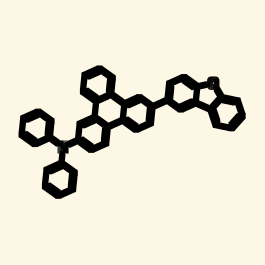 c1ccc(N(c2ccccc2)c2ccc3c4ccc(-c5ccc6oc7ccccc7c6c5)cc4c4ccccc4c3c2)cc1